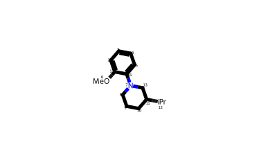 COc1ccccc1N1CCCC(C(C)C)C1